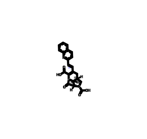 O=C(O)C1=C(/C=C/c2ccc3ccccc3n2)C[C@@H]2CN(C(=O)O)[C@@H]3C(=O)N1[C@H]23